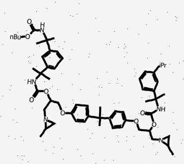 CCCCOC(=O)NC(C)(C)c1cccc(C(C)(C)NC(=O)OC(COc2ccc(C(C)(C)c3ccc(OCC(CN4CC4C)OC(=O)NC(C)(C)c4cccc(C(C)C)c4)cc3)cc2)CN2CC2C)c1